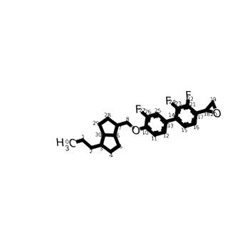 CCCC1CCC2C(COc3ccc(-c4ccc(C5CO5)c(F)c4F)cc3F)CCC12